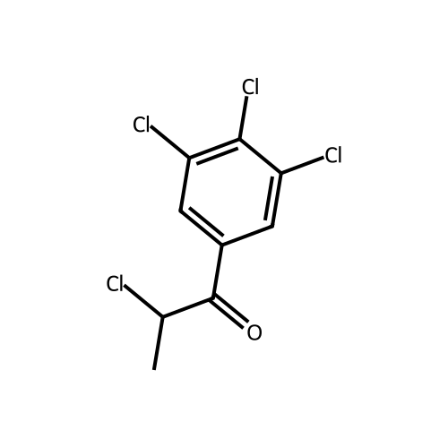 CC(Cl)C(=O)c1cc(Cl)c(Cl)c(Cl)c1